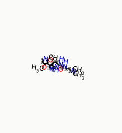 COc1ccnc(OC)c1-c1c[nH]c2nc(NC(=O)NCCCN(C)C)ccc12